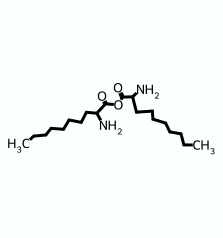 CCCCCCCCC(N)C(=O)OC(=O)C(N)CCCCCCCC